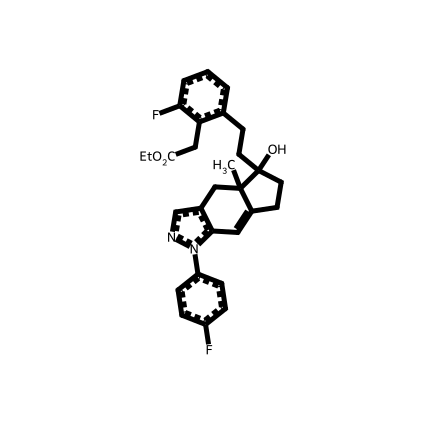 CCOC(=O)Cc1c(F)cccc1CCC1(O)CCC2=Cc3c(cnn3-c3ccc(F)cc3)CC21C